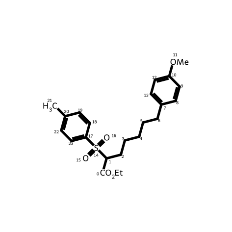 CCOC(=O)C(CCCCCc1ccc(OC)cc1)S(=O)(=O)c1ccc(C)cc1